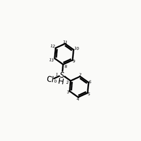 Cl[SH](c1ccccc1)c1ccccc1